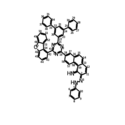 N=C1/C(=N\Nc2ccccc2)C=Cc2ccc3cc(-c4nc(-c5cc(-c6ccccc6)cc(-c6ccccc6)c5)nc(-c5cccc6oc7ccccc7c56)n4)ccc3c21